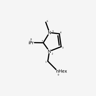 CCCCCCCN1C=CN(C)C1C(C)C